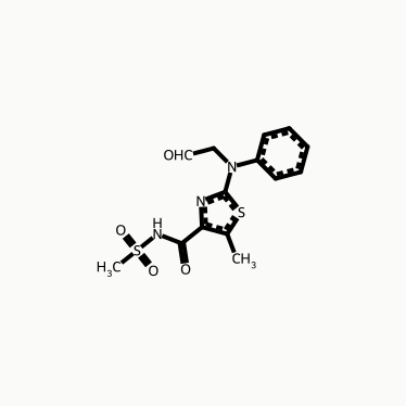 Cc1sc(N(CC=O)c2ccccc2)nc1C(=O)NS(C)(=O)=O